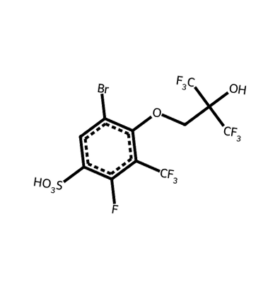 O=S(=O)(O)c1cc(Br)c(OCC(O)(C(F)(F)F)C(F)(F)F)c(C(F)(F)F)c1F